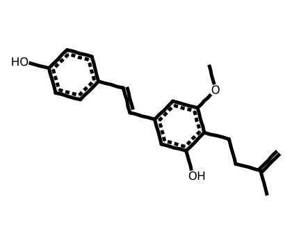 C=C(C)CCc1c(O)cc(C=Cc2ccc(O)cc2)cc1OC